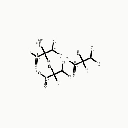 CCC(CC)C(CC)(CC)[PH](=O)[O-].CCC(CC)C(CC)(CC)[PH](=O)[O-].CCC(CC)C(CC)(CC)[PH](=O)[O-].[Al+3]